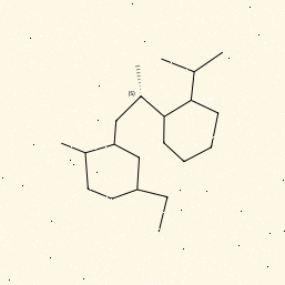 CCC1CCC(C)C(C[C@H](C)C2CCCCC2C(C)C)C1